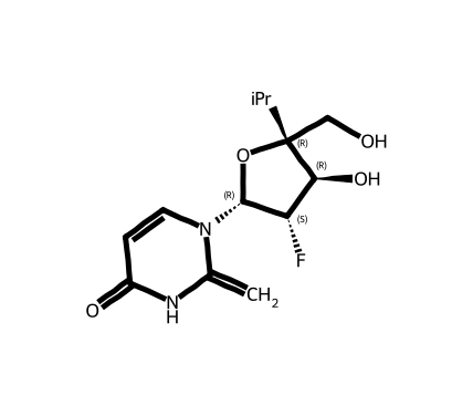 C=C1NC(=O)C=CN1[C@@H]1O[C@@](CO)(C(C)C)[C@@H](O)[C@@H]1F